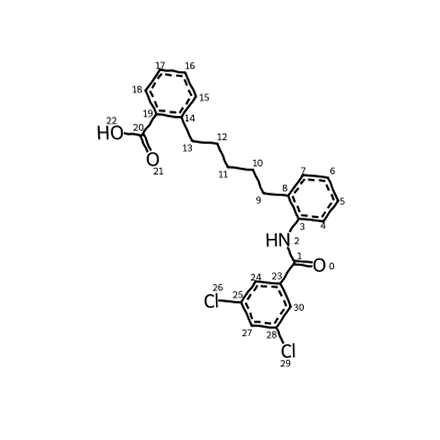 O=C(Nc1ccccc1CCCCCc1ccccc1C(=O)O)c1cc(Cl)cc(Cl)c1